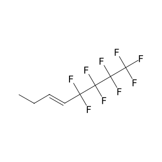 CC/C=C/C(F)(F)C(F)(F)C(F)(F)C(F)(F)F